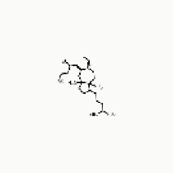 C/C=C1/CCC2(N)C(CCCC(CCCC)CCCC)CCC2(N)CC1=CC(CC)CCC(C)=O